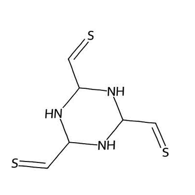 S=CC1NC(C=S)NC(C=S)N1